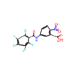 O=C(O)c1cc(NC(=O)c2c(F)c(F)c(F)c(F)c2F)ccc1[N+](=O)[O-]